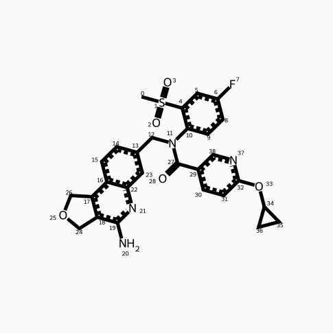 CS(=O)(=O)c1cc(F)ccc1N(Cc1ccc2c3c(c(N)nc2c1)COC3)C(=O)c1ccc(OC2CC2)nc1